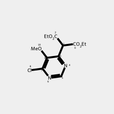 CCOC(=O)C(C(=O)OCC)c1ncnc(Cl)c1OC